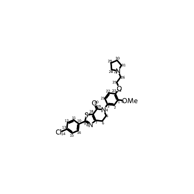 COc1cc(N2CCc3nc(-c4ccc(Cl)cc4)sc3C2=O)ccc1OCCN1CCCC1